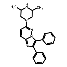 CC1CN(c2ccc3nc(-c4ccccc4)c(-c4ccncc4)n3n2)CC(C)N1